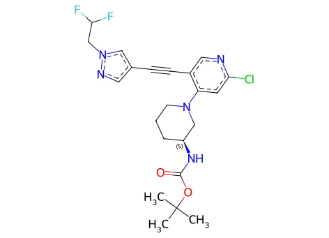 CC(C)(C)OC(=O)N[C@H]1CCCN(c2cc(Cl)ncc2C#Cc2cnn(CC(F)F)c2)C1